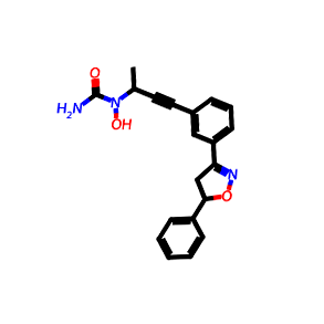 CC(C#Cc1cccc(C2=NOC(c3ccccc3)C2)c1)N(O)C(N)=O